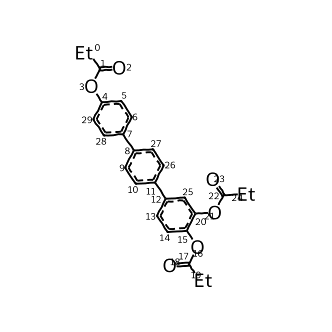 CCC(=O)Oc1ccc(-c2ccc(-c3ccc(OC(=O)CC)c(OC(=O)CC)c3)cc2)cc1